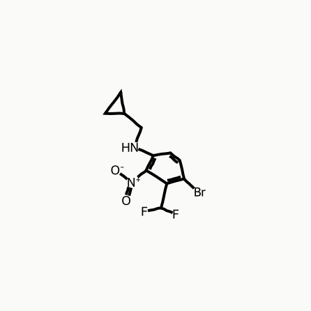 O=[N+]([O-])c1c(NCC2CC2)ccc(Br)c1C(F)F